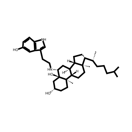 CC(C)CCC[C@@H](C)[C@H]1CC[C@H]2[C@@H]3C[C@@H](NCCc4c[nH]c5ccc(O)cc45)[C@@]4(O)C[C@@H](O)CC[C@]4(C)[C@H]3CC[C@]12C